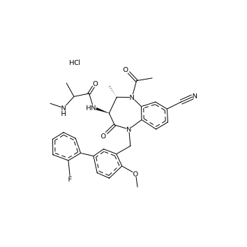 CNC(C)C(=O)N[C@@H]1C(=O)N(Cc2cc(-c3ccccc3F)ccc2OC)c2ccc(C#N)cc2N(C(C)=O)[C@H]1C.Cl